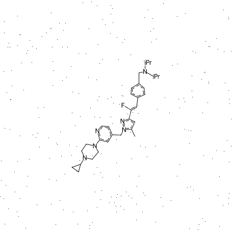 Cc1cc(C(F)=Cc2ccc(CN(C(C)C)C(C)C)cc2)nn1Cc1ccnc(N2CCN(C3CC3)CC2)c1